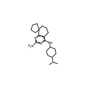 CN(C)C1CCC(Nc2nc(N)nc3c2CCCC32CCCC2)CC1